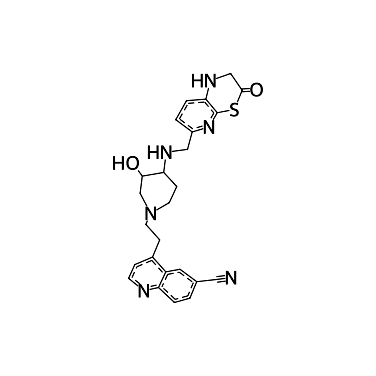 N#Cc1ccc2nccc(CCN3CCC(NCc4ccc5c(n4)SC(=O)CN5)C(O)C3)c2c1